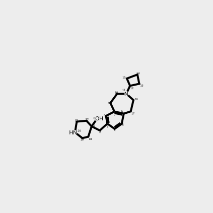 OC1(Cc2ccc3c(c2)CCN(C2CCC2)CC3)CCNCC1